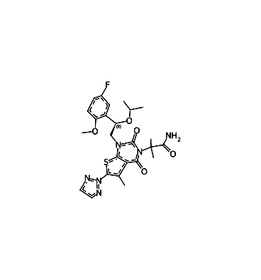 COc1ccc(F)cc1[C@H](Cn1c(=O)n(C(C)(C)C(N)=O)c(=O)c2c(C)c(-n3nccn3)sc21)OC(C)C